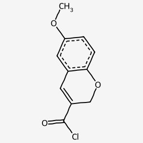 COc1ccc2c(c1)C=C(C(=O)Cl)CO2